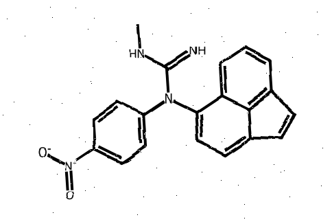 CNC(=N)N(c1ccc([N+](=O)[O-])cc1)c1ccc2c3c(cccc13)C=C2